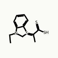 CCN1CS(=C(C)C(=S)S)c2ccccc21